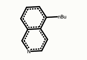 CCCCc1cccc2cnccc12